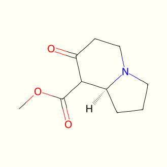 COC(=O)C1C(=O)CCN2CCC[C@@H]12